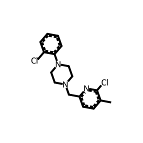 Cc1ccc(CN2CCN(c3ccccc3Cl)CC2)nc1Cl